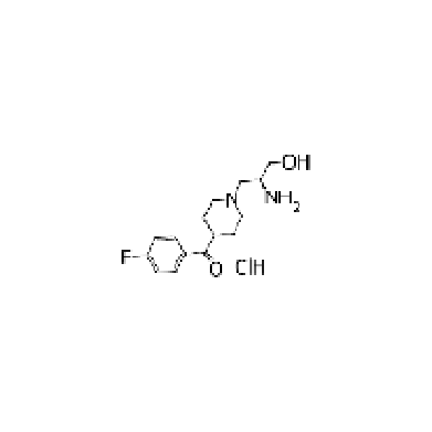 Cl.N[C@H](CO)CN1CCC(C(=O)c2ccc(F)cc2)CC1